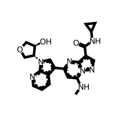 CNc1cc(-c2cn([C@@H]3COC[C@H]3O)c3ncccc23)nc2c(C(=O)NC3CC3)cnn12